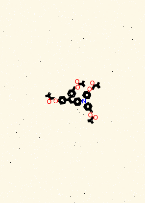 C=C(C)C(=O)COc1ccc(C(=Cc2ccc(N(c3ccc(COC(=O)C(=C)C)cc3)c3ccc(OCC(=O)C(=C)C)cc3)cc2)c2ccc(COC(=O)C(=C)C)cc2)cc1